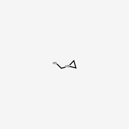 SC[SH]1CC1